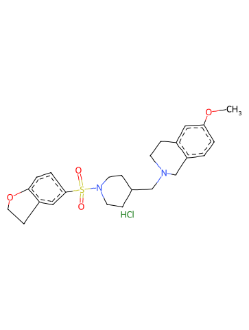 COc1ccc2c(c1)CCN(CC1CCN(S(=O)(=O)c3ccc4c(c3)CCO4)CC1)C2.Cl